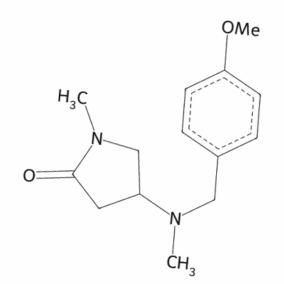 COc1ccc(CN(C)C2CC(=O)N(C)C2)cc1